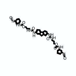 O=C=Nc1cccc(NC(=O)OCCCNC(=O)Nc2ccc3c(c2)Cc2cc(NC(=O)NCCCOC(=O)Nc4cccc(N=C=O)c4)ccc2-3)c1